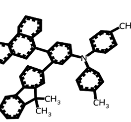 Cc1ccc(N(c2ccc(C)cc2)c2ccc(-c3cc4ccccc4c4ccccc34)c(-c3ccc4c(c3)C(C)(C)c3ccccc3-4)c2)cc1